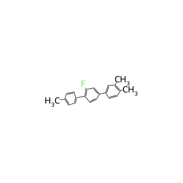 Cc1ccc(-c2ccc(-c3ccc(C)c(C)c3)cc2F)cc1